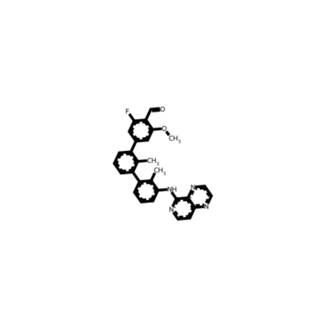 COc1cc(-c2cccc(-c3cccc(Nc4nccc5nccnc45)c3C)c2C)cc(F)c1C=O